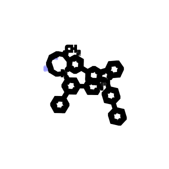 C=C1/C=C\C=C/CN(c2cc(-c3ccccc3)cc(-c3ccncc3)c2)c2cc(-c3ccc4c(c3)c3ccccc3n4-c3ccc(-c4ccccc4)cc3)ccc21